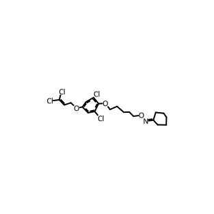 ClC(Cl)=CCOc1cc(Cl)c(OCCCCCON=C2CCCCC2)c(Cl)c1